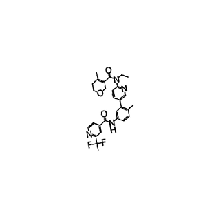 CCN(C(=O)C1=C(C)CCOC1)c1ccc(-c2cc(NC(=O)c3ccnc(C(C)(F)F)c3)ccc2C)cn1